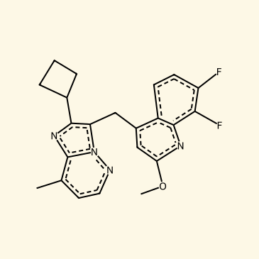 COc1cc(Cc2c(C3CCC3)nc3c(C)ccnn23)c2ccc(F)c(F)c2n1